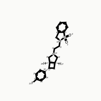 O=S1(=O)c2ccccc2CN1CCN1C[C@H]2C[C@H](c3ccc(F)cc3)[C@H]2C1